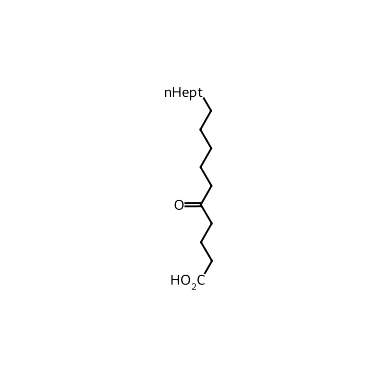 CCCCCCCCCCCCC(=O)CCCC(=O)O